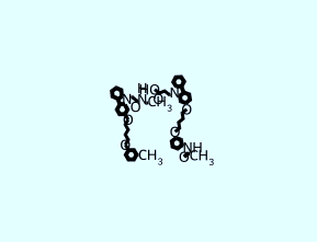 CC(=O)Nc1cccc(OCCCCOc2ccc3c4ccccc4n(CCC(=O)O)c3c2)c1.CCNC(=O)Cn1c2ccccc2c2ccc(OCCCCOc3cccc(C)c3)cc21